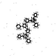 c1ccc(-c2cc(-c3cc(-c4nc(-c5ccccc5)nc(-c5ccccc5)n4)ccn3)nc(-c3cc(-c4nc(-c5ccccc5)nc(-c5ccccc5)n4)ccn3)c2)cc1